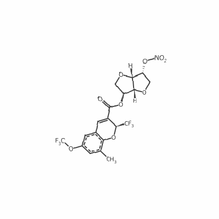 Cc1cc(OC(F)(F)F)cc2c1O[C@H](C(F)(F)F)C(C(=O)O[C@H]1CO[C@H]3[C@@H]1OC[C@H]3O[N+](=O)[O-])=C2